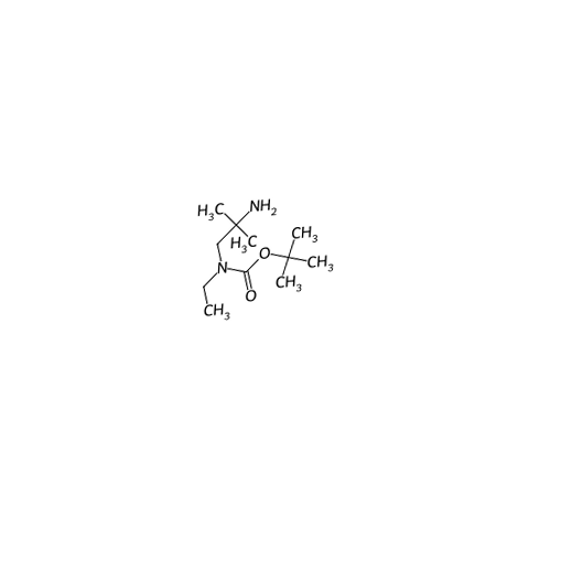 CCN(CC(C)(C)N)C(=O)OC(C)(C)C